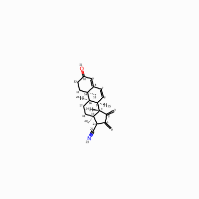 C=C1C(=C)[C@H]2[C@@H]3C=CC4=CC(=O)CC[C@]4(C)[C@@H]3CC[C@]2(C)C1C#N